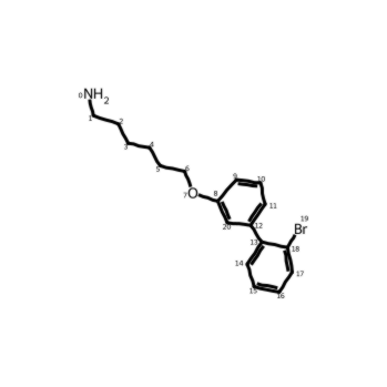 NCCCCCCOc1cccc(-c2ccccc2Br)c1